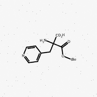 CC(C)(C)OC(=O)C(N)(Cc1ccncc1)C(=O)O